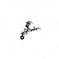 CC(C)(C)OC(=O)CCCOC[C@H](NC(=O)c1ccn(S(C)(=O)=O)c1)C(=O)Nc1nc(-c2ccccc2)cs1